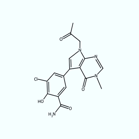 CC(=O)Cn1cc(-c2cc(Cl)c(O)c(C(N)=O)c2)c2c(=O)n(C)cnc21